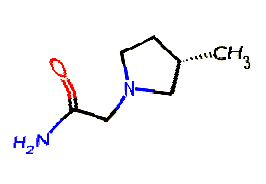 C[C@H]1CCN(CC(N)=O)C1